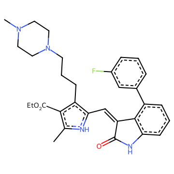 CCOC(=O)c1c(C)[nH]c(C=C2C(=O)Nc3cccc(-c4cccc(F)c4)c32)c1CCCN1CCN(C)CC1